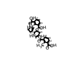 C1=CNCC1.C1=CNCCC1.Cc1c(C(=O)O)cccc1C(=O)O.Cc1c(C(=O)O)cccc1C(=O)O